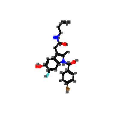 Cc1c(CC(=O)NCCC(=O)O)c2cc(O)c(F)cc2n1C(=O)c1ccc(Br)cc1